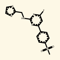 CS(=O)(=O)c1ccc(-c2cc(F)nc(NCc3nccs3)n2)cc1